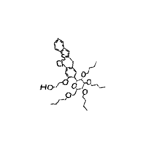 CCCCOC[C@H]1O[C@@H](c2cc(Cc3cc4ccccc4s3)c(Cl)cc2OCCO)[C@H](OCCCC)[C@@H](OCCCC)[C@@H]1OCCCC